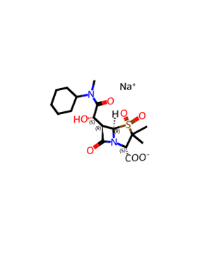 CN(C(=O)[C@@H](O)[C@@H]1C(=O)N2[C@@H](C(=O)[O-])C(C)(C)S(=O)(=O)[C@H]12)C1CCCCC1.[Na+]